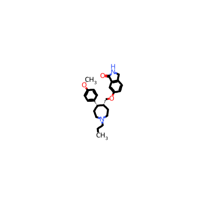 CCCN1CC[C@@H](COc2ccc3c(c2)C(=O)NC3)[C@@H](c2ccc(OC)cc2)CC1